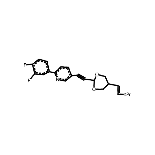 CCC/C=C/C1COC(C#Cc2ccc(-c3ccc(F)c(F)c3)nc2)OC1